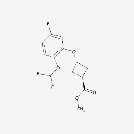 COC(=O)[C@H]1C[C@H](Oc2cc(F)ccc2OC(F)F)C1